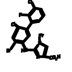 CC(C)n1cc(C(=O)O)nc1Nc1cc(-c2cccc(Cl)c2F)c(Cl)cc1Br